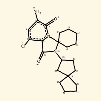 Nc1cc(Cl)c2n(c1=O)C1(CCCCC1)N(C1CCC3(CCCC3)C1)C2=O